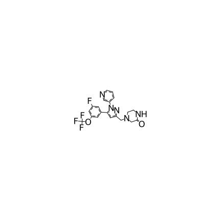 O=C1CN(Cc2cc(-c3cc(F)cc(OC(F)(F)F)c3)n(-c3cccnc3)n2)CCN1